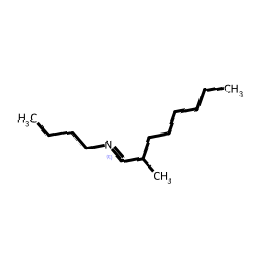 CCCCCCC(C)/C=N/CCCC